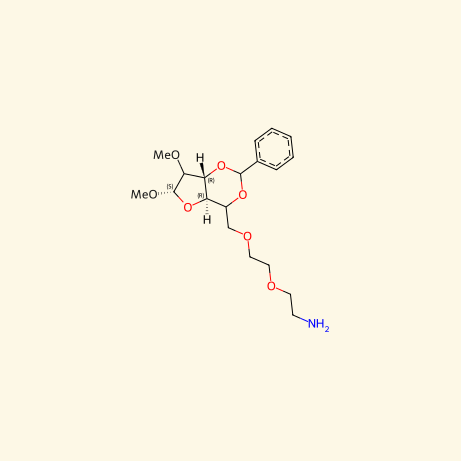 COC1[C@@H](OC)O[C@@H]2C(COCCOCCN)OC(c3ccccc3)O[C@@H]12